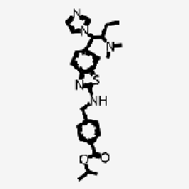 CCC(C(c1ccc2nc(NCc3ccc(C(=O)OC(C)C)cc3)sc2c1)n1ccnc1)N(C)C